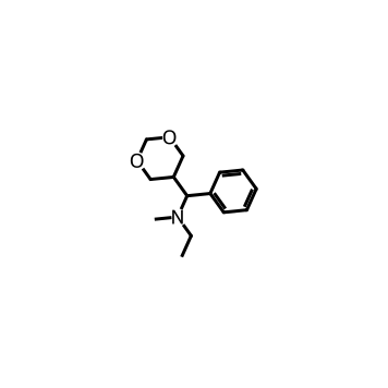 CCN(C)C(c1ccccc1)C1COCOC1